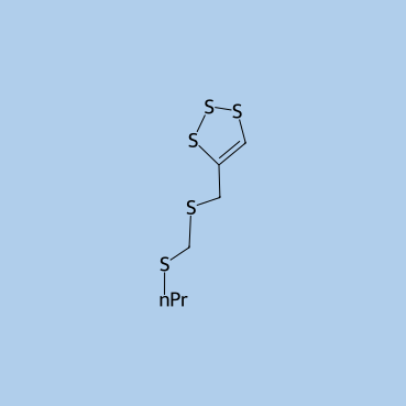 CCCSCSCC1=CSSS1